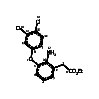 CCOC(=O)Cc1cccc(Oc2ccc(Cl)c(Cl)c2)c1N